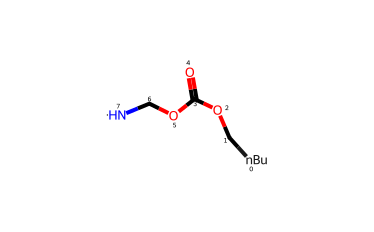 CCCCCOC(=O)OC[NH]